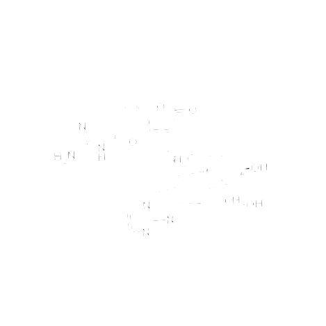 C[C@]12CC[C@@H](O)[C@@](C)(CO)C1CC1=Nc3nccn3CC1C2/C=C/C1=CC(=C\c2cnc(N)[nH]c2=O)/OC1=O